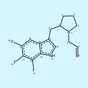 C=CCN1CCCC1Cc1c[nH]c2c(F)c(F)c(F)cc12